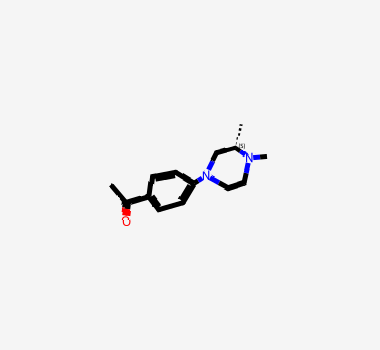 CC(=O)c1ccc(N2CCN(C)[C@@H](C)C2)cc1